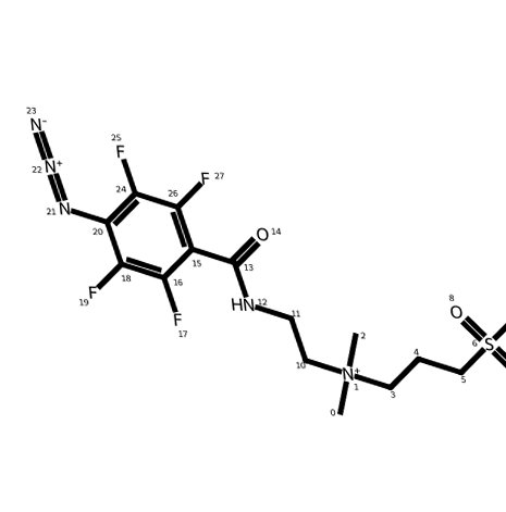 C[N+](C)(CCCS(C)(=O)=O)CCNC(=O)c1c(F)c(F)c(N=[N+]=[N-])c(F)c1F